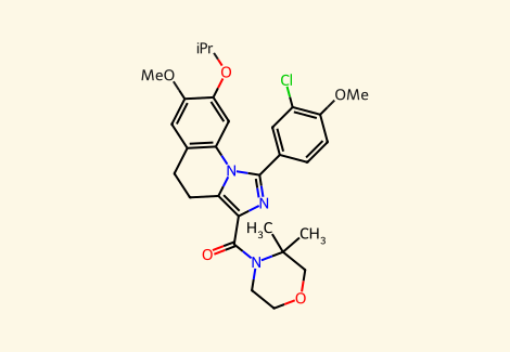 COc1ccc(-c2nc(C(=O)N3CCOCC3(C)C)c3n2-c2cc(OC(C)C)c(OC)cc2CC3)cc1Cl